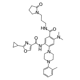 Cc1ccccc1N1CCN(c2cc(N(C)C)c(C(=O)NCCCN3CCCC3=O)cc2NC(=O)c2coc(C3CC3)n2)CC1